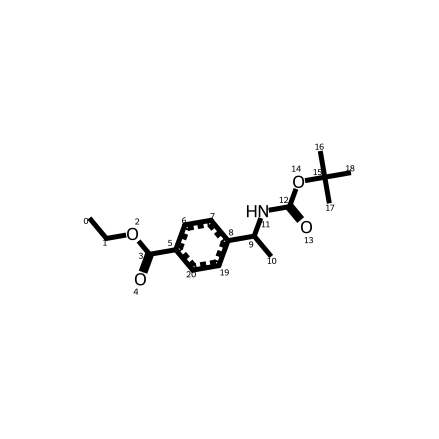 CCOC(=O)c1ccc(C(C)NC(=O)OC(C)(C)C)cc1